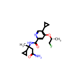 C[C@H](CF)Oc1cc(C(=O)NC(C)(CC(N)=O)C2CC2)ncc1C1CC1